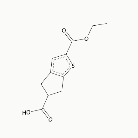 CCOC(=O)c1cc2c(s1)CC(C(=O)O)C2